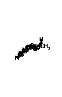 CN(CCC#N)C1CCc2nc(NC(=O)c3cccc(Cn4cc(-c5ccc(C#N)cc5)cn4)c3)sc2C1